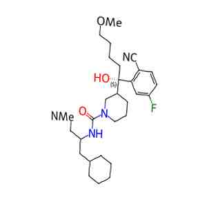 CNCC(CC1CCCCC1)NC(=O)N1CCCC([C@@](O)(CCCCOC)c2cc(F)ccc2C#N)C1